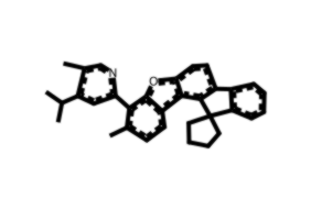 Cc1cnc(-c2c(C)ccc3c2oc2ccc4c(c23)C2(CCCC2)c2ccccc2-4)cc1C(C)C